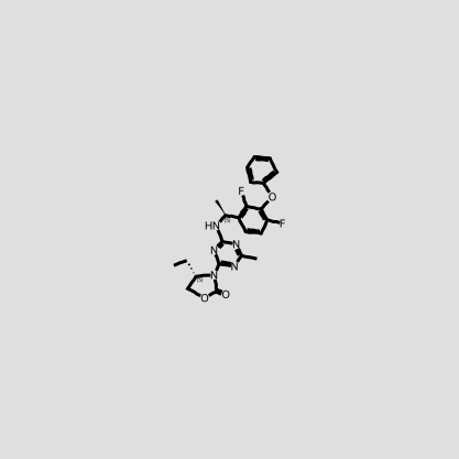 CC[C@H]1COC(=O)N1c1nc(C)nc(N[C@@H](C)c2ccc(F)c(Oc3ccccc3)c2F)n1